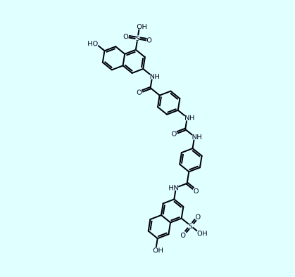 O=C(Nc1ccc(C(=O)Nc2cc(S(=O)(=O)O)c3cc(O)ccc3c2)cc1)Nc1ccc(C(=O)Nc2cc(S(=O)(=O)O)c3cc(O)ccc3c2)cc1